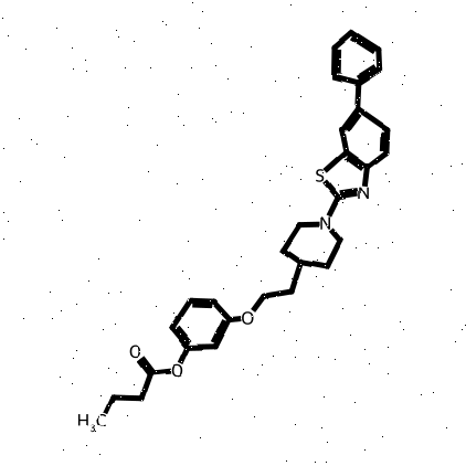 CCCC(=O)Oc1cccc(OCCC2CCN(c3nc4ccc(-c5ccccc5)cc4s3)CC2)c1